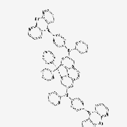 c1ccc(N(c2ccc(N3c4ccccc4Oc4ccccc43)cc2)c2cc3c4c(ccc5cc(N(c6ccccc6)c6ccc(N7c8ccccc8Oc8ccccc87)cc6)cc(c54)C3(c3ccccc3)c3ccccc3)c2)cc1